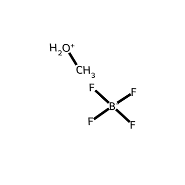 C[OH2+].F[B-](F)(F)F